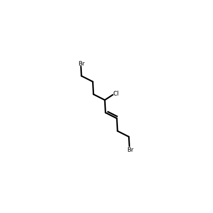 ClC(C=CCCBr)CCCBr